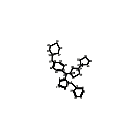 c1ccc(Cn2cnnc2C(c2ccc(CN3CCCCC3)cc2)N2CC[C@H](N3CCCC3)C2)cc1